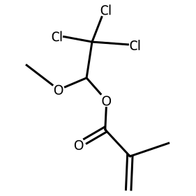 C=C(C)C(=O)OC(OC)C(Cl)(Cl)Cl